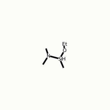 CCO[SiH](C)N(C)C